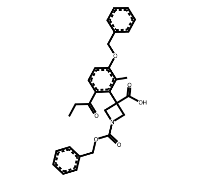 CCC(=O)c1ccc(OCc2ccccc2)c(C)c1C1(C(=O)O)CN(C(=O)OCc2ccccc2)C1